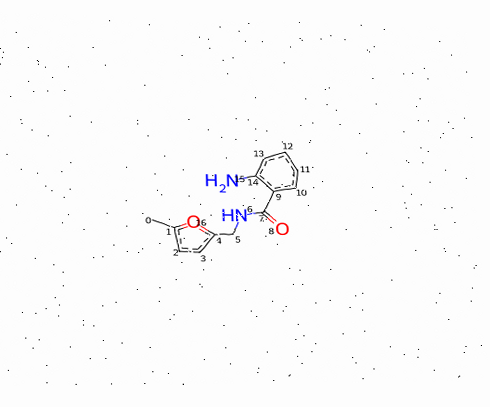 Cc1ccc(CNC(=O)c2ccccc2N)o1